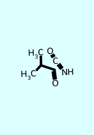 CC(C)C=O.N=C=O